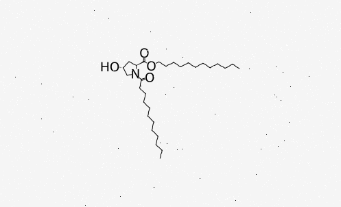 CCCCCCCCCCCCOC(=O)[C@@H]1C[C@@H](O)CN1C(=O)CCCCCCCCCCC